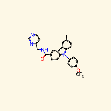 Cc1ccc2c(c1)c1cc(C(=O)NCc3ccncn3)ccc1n2-c1ccc(OC(F)(F)F)cc1